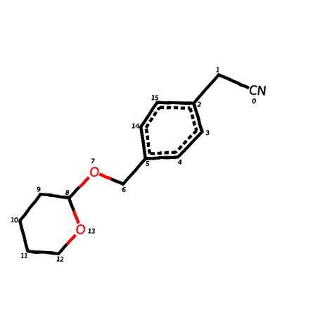 N#CCc1ccc(COC2CCCCO2)cc1